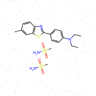 CCN(CC)c1ccc(-c2nc3ccc(C)cc3s2)cc1.CS(N)(=O)=O.CS(N)(=O)=O